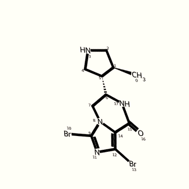 C[C@@H]1CNC[C@H]1C1Cn2c(Br)nc(Br)c2C(=O)N1